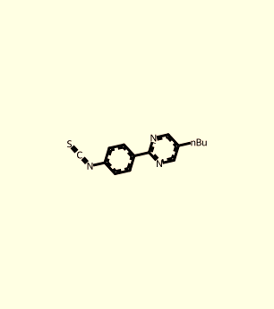 CCCCc1cnc(-c2ccc(N=C=S)cc2)nc1